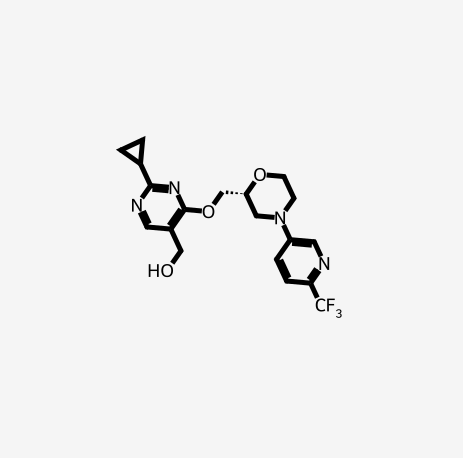 OCc1cnc(C2CC2)nc1OC[C@H]1CN(c2ccc(C(F)(F)F)nc2)CCO1